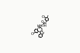 Cc1ccc(NC(=O)ONC2=Nc3ccc(Cl)cc3C(c3ccccc3F)=NC2)cc1Cl